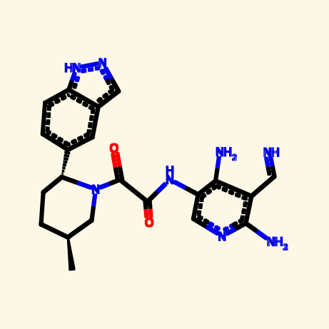 C[C@H]1CC[C@H](c2ccc3[nH]ncc3c2)N(C(=O)C(=O)Nc2cnc(N)c(C=N)c2N)C1